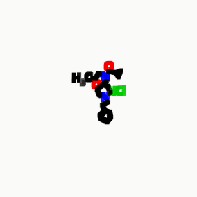 CC1CN(C(=O)C2CC2)CC2(CCN(CCc3ccccc3)CC2)O1.Cl